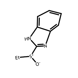 CC[S+]([O-])c1nc2ccccc2[nH]1